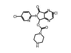 Cl.O=C(OC1c2nccnc2C(=O)N1c1ccc(Cl)cn1)N1CCNCC1